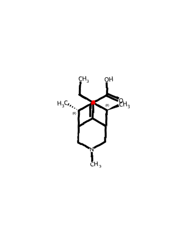 CCC(C(=O)O)=C1C2CN(C)CC1[C@H](C)C[C@H]2C